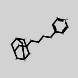 c1cc(CCCCC23CC4CC(CC(C4)C2)C3)ccn1